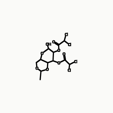 CC1OCC2OC(O)C(OC(=O)C(Cl)Cl)C(OC(=O)C(Cl)Cl)C2O1